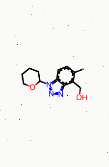 Cc1ccc2c(nnn2C2CCCCO2)c1CO